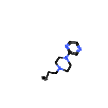 CCCN1CCN(c2cnccn2)CC1